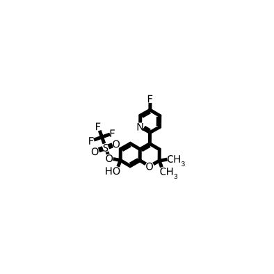 CC1(C)CC(c2ccc(F)cn2)=C2C=CC(O)(OS(=O)(=O)C(F)(F)F)C=C2O1